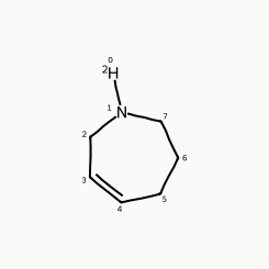 [2H]N1CC=CCCC1